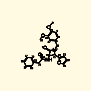 COc1ccc(CN2C(=O)C(NC(=O)Cc3ccccc3)C2c2ccco2)cc1OC